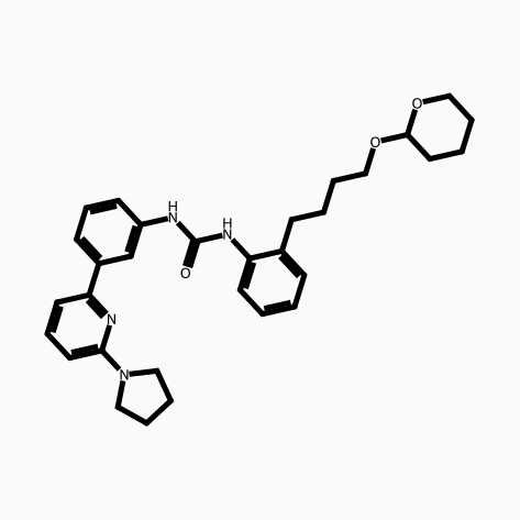 O=C(Nc1cccc(-c2cccc(N3CCCC3)n2)c1)Nc1ccccc1CCCCOC1CCCCO1